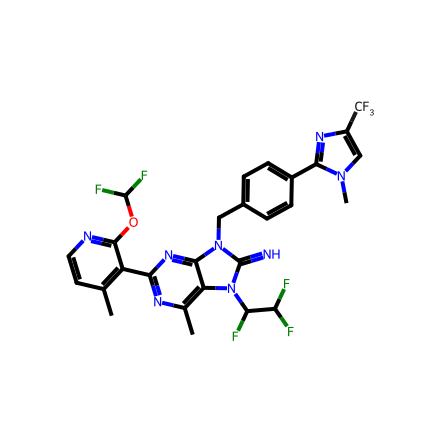 Cc1ccnc(OC(F)F)c1-c1nc(C)c2c(n1)n(Cc1ccc(-c3nc(C(F)(F)F)cn3C)cc1)c(=N)n2C(F)C(F)F